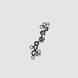 O=C1CCC(N2Cc3cc(-n4cc(-c5ccn(C6CCN6C(=O)O)n5)nn4)ccc3C2=O)C(=O)N1